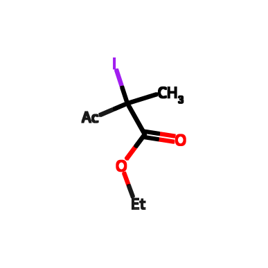 CCOC(=O)C(C)(I)C(C)=O